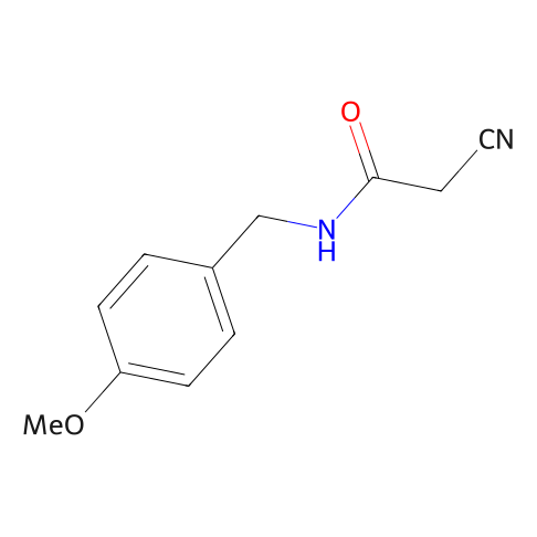 COc1ccc(CNC(=O)CC#N)cc1